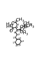 CC(C)CC(C(=O)O)C(CCCC1CCCCC1)C(=O)OC(C)(C)C